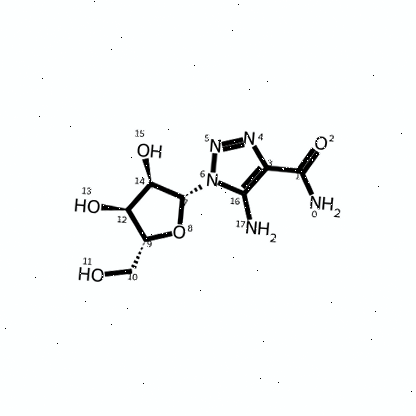 NC(=O)c1nnn([C@@H]2O[C@H](CO)[C@@H](O)[C@H]2O)c1N